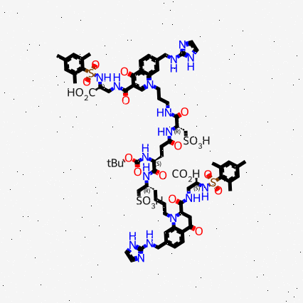 Cc1cc(C)c(S(=O)(=O)N[C@@H](CNC(=O)c2cn(CCCNC(=O)[C@H](CS(=O)(=O)O)NC(=O)CC[C@H](NC(=O)OC(C)(C)C)C(=O)N[C@H](CCCCN3c4cc(CNc5ncc[nH]5)ccc4C(=O)CC3C(=O)NC[C@H](NS(=O)(=O)c3c(C)cc(C)cc3C)C(=O)O)CS(=O)(=O)O)c3cc(CNc4ncc[nH]4)ccc3c2=O)C(=O)O)c(C)c1